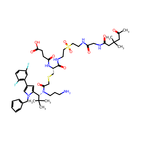 CC(=O)CC(C)(C)CC(=O)NCC(=O)NCCS(=O)(=O)CCNC(=O)[C@H](CSCC(=O)N(CCCN)[C@@H](c1cc(-c2cc(F)ccc2F)cn1Cc1ccccc1)C(C)(C)C)NC(=O)CCC(=O)O